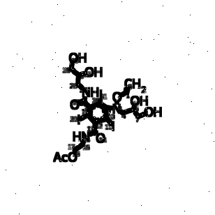 C=CON(CC(O)CO)c1c(I)c(C(=O)NCCOC(C)=O)c(I)c(C(=O)NCC(O)CO)c1I